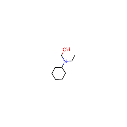 CCN(CO)C1CCCCC1